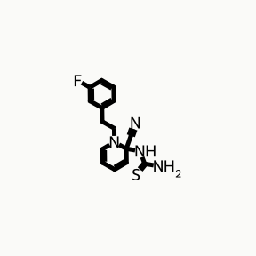 N#CC1(NC(N)=S)C=CC=CN1CCc1cccc(F)c1